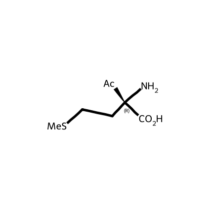 CSCC[C@@](N)(C(C)=O)C(=O)O